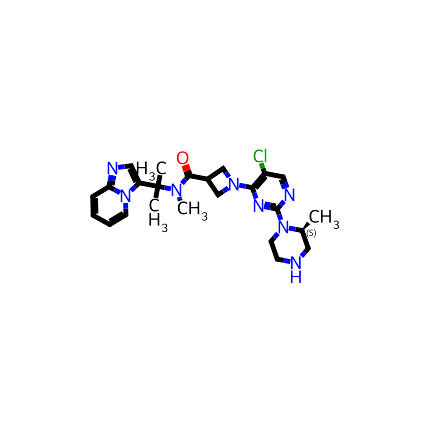 C[C@H]1CNCCN1c1ncc(Cl)c(N2CC(C(=O)N(C)C(C)(C)c3cnc4ccccn34)C2)n1